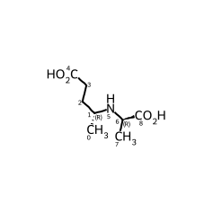 C[C@H](CCC(=O)O)N[C@H](C)C(=O)O